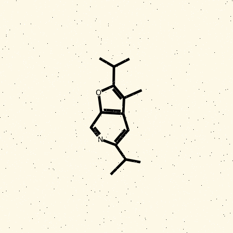 Cc1c(C(C)C)oc2cnc(C(C)C)cc12